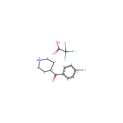 O=C(O)C(F)(F)F.O=C(c1ccc(F)cc1)C1CCNCC1